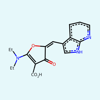 CCN(CC)C1=C(C(=O)O)C(=O)C(=Cc2c[nH]c3ncccc23)O1